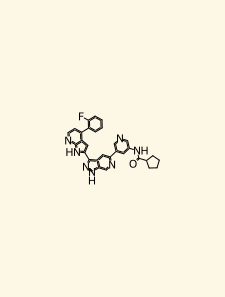 O=C(Nc1cncc(-c2cc3c(-c4cc5c(-c6ccccc6F)ccnc5[nH]4)n[nH]c3cn2)c1)C1CCCC1